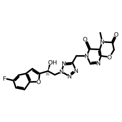 CN1C(=O)COc2ncn(Cc3nnn(C[C@H](O)c4cc5cc(F)ccc5o4)n3)c(=O)c21